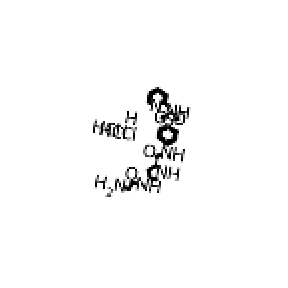 Cl.Cl.Cl.NCC(=O)NC1CN[C@H](C(=O)Nc2ccc(S(=O)(=O)Nc3ccccn3)cc2)C1